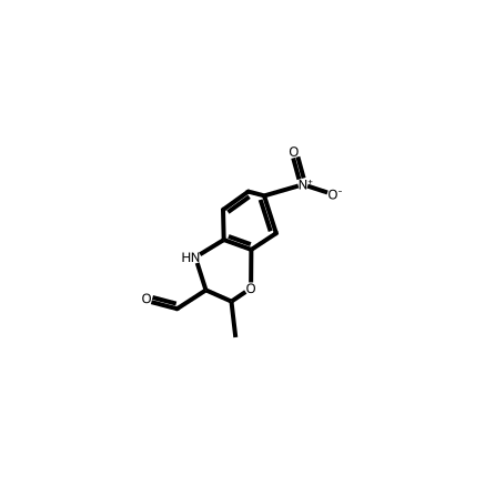 CC1Oc2cc([N+](=O)[O-])ccc2NC1C=O